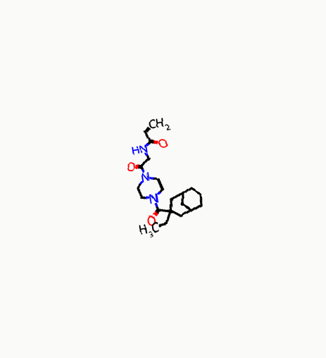 C=CC(=O)NCC(=O)N1CCN(C(=O)C2(CC)CC3CCCC(C3)C2)CC1